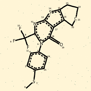 CSc1ccc(-n2c(C(F)(F)F)nc3sc4c(c3c2=O)CCCC4)cc1